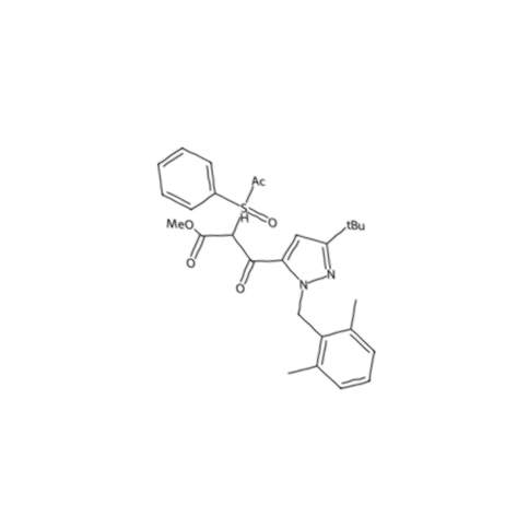 COC(=O)C(C(=O)c1cc(C(C)(C)C)nn1Cc1c(C)cccc1C)[SH](=O)(C(C)=O)c1ccccc1